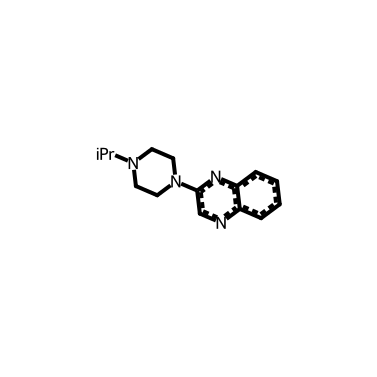 CC(C)N1CCN(c2cnc3ccccc3n2)CC1